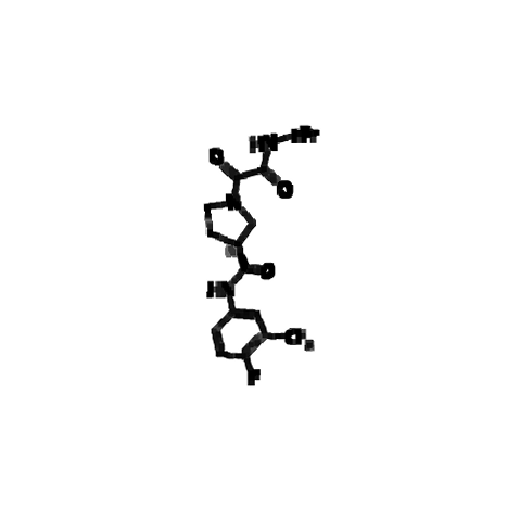 CCCNC(=O)C(=O)N1CC[C@H](C(=O)Nc2ccc(F)c(C(F)(F)F)c2)C1